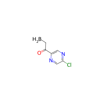 BCC(=O)c1cnc(Cl)cn1